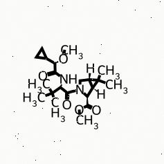 COC(=O)[C@@H]1[C@H]2[C@H](CN1C(=O)[C@@H](NC(=O)[C@@H](OC)C1CC1)C(C)(C)C)C2(C)C